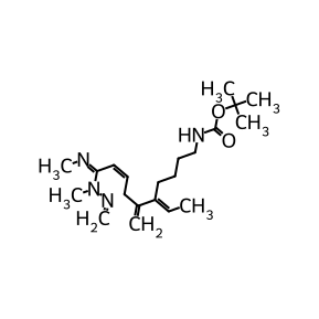 C=NN(C)C(/C=C\CC(=C)/C(=C/C)CCCCNC(=O)OC(C)(C)C)=N\C